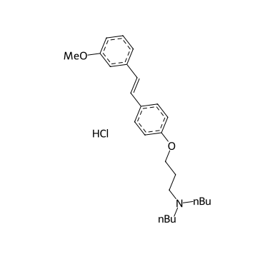 CCCCN(CCCC)CCCOc1ccc(C=Cc2cccc(OC)c2)cc1.Cl